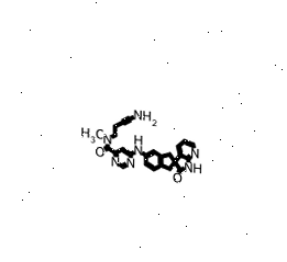 CN(CCC#CN)C(=O)c1cc(Nc2ccc3c(c2)CC2(C3)C(=O)Nc3ncccc32)ncn1